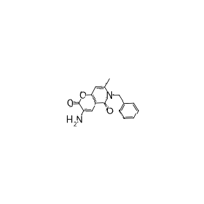 Cc1cc2oc(=O)c(N)cc2c(=O)n1Cc1ccccc1